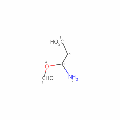 NC(CC(=O)O)OC=O